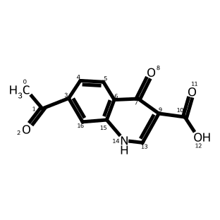 CC(=O)c1ccc2c(=O)c(C(=O)O)c[nH]c2c1